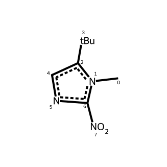 Cn1c(C(C)(C)C)cnc1[N+](=O)[O-]